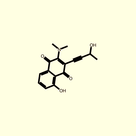 CC(O)C#CC1=C(N(C)C)C(=O)c2cccc(O)c2C1=O